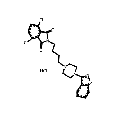 Cl.O=C1c2c(Cl)ccc(Cl)c2C(=O)N1CCCCN1CCN(c2nsc3ccccc23)CC1